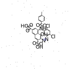 Cc1ccc(S(=O)(=O)Nc2cc(S(=O)(=O)O)cc3cc(S(=O)(=O)O)c(/N=N\c4ccc(Cl)cc4Cl)c(O)c23)cc1